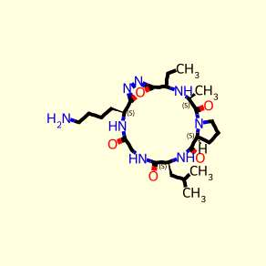 CCC1N[C@@H](C)C(=O)N2CCC[C@H]2C(=O)N[C@@H](CC(C)C)C(=O)NCC(=O)N[C@@H](CCCCN)c2nnc1o2